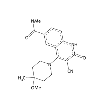 CNC(=O)c1ccc2[nH]c(=O)c(C#N)c(N3CCC(C)(OC)CC3)c2c1